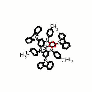 Cc1ccc(N2c3cc(-n4c5ccccc5c5ccccc54)cc4c3[Si]3(c5ccccc5)c5c2cc(-n2c6ccccc6c6ccccc62)cc5N(c2ccc(C)cc2)c2cc(-n5c6ccccc6c6ccccc65)cc(c23)N4c2ccc(C)cc2)cc1